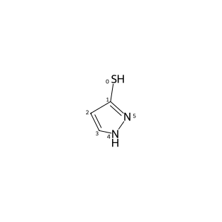 Sc1cc[nH]n1